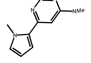 CNc1cc(-c2cccn2C)ncn1